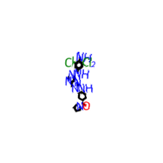 Nc1c(Cl)cc(Nc2ncnc3cnc(N[C@H]4CC[C@H](C(=O)N5CCCC5)CC4)nc23)cc1Cl